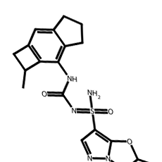 CC1Cn2ncc(S(N)(=O)=NC(=O)Nc3c4c(cc5c3C(C)C5)CCC4)c2O1